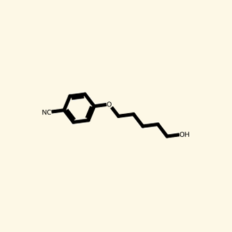 N#Cc1ccc(OCCCCCO)cc1